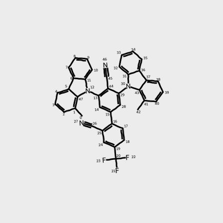 Cc1cccc2c3ccccc3n(-c3cc(-c4ccc(C(F)(F)F)cc4C#N)cc(-n4c5ccccc5c5cccc(C)c54)c3C#N)c12